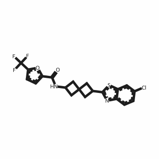 O=C(NC1CC2(C1)CC(c1nc3ccc(Cl)cc3s1)C2)c1ccc(C(F)(F)F)o1